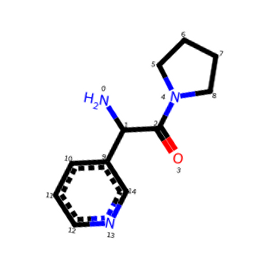 NC(C(=O)N1CCCC1)c1cccnc1